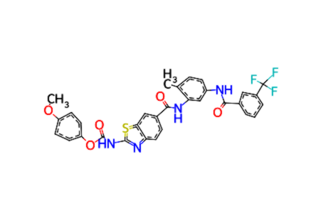 COc1ccc(OC(=O)Nc2nc3ccc(C(=O)Nc4cc(NC(=O)c5cccc(C(F)(F)F)c5)ccc4C)cc3s2)cc1